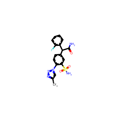 NC(=O)C(c1ccc(-n2cc(C(F)(F)F)nn2)c(S(N)(=O)=O)c1)c1ccccc1F